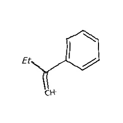 [CH]=C(CC)c1ccccc1